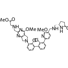 COC(=O)CNCc1nc2c(c(OC)n1)CN(c1cccc(-c3cccc(-c4ccc(CNC[C@@H]5CCC(=O)N5)c(OC)n4)c3Cl)c1Cl)C2